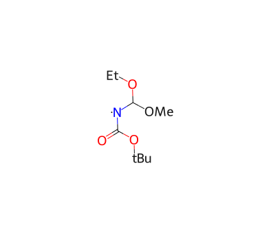 CCOC([N]C(=O)OC(C)(C)C)OC